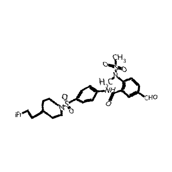 CC(C)CCC1CCN(S(=O)(=O)c2ccc(NC(=O)c3cc(C=O)ccc3N(C)S(C)(=O)=O)cc2)CC1